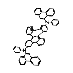 c1ccc(N(c2ccc3c(c2)c2ccccc2c2c4ccc(N(c5ccccc5)c5cc6ccccc6c6ccccc56)cc4c4ccccc4c32)c2cc3ccccc3c3ccccc23)cc1